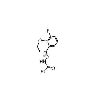 CCC(=O)N/N=C1\CCOc2c(F)cccc21